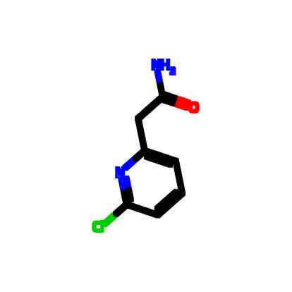 NC(=O)Cc1cccc(Cl)n1